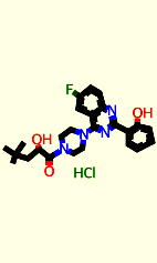 CC(C)(C)CC(O)C(=O)N1CCN(c2nc(-c3ccccc3O)nc3ccc(F)cc23)CC1.Cl